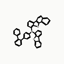 c1ccc(-c2ccccc2-c2ccc(N(c3cccc4c3oc3ccccc34)c3cccc4c3oc3c5ccccc5ccc43)cc2)cc1